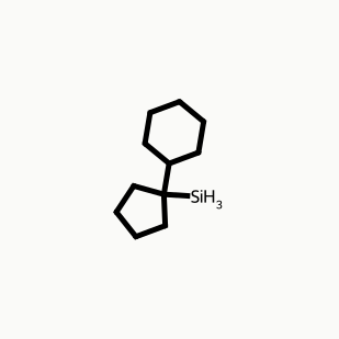 [SiH3]C1(C2CCCCC2)CCCC1